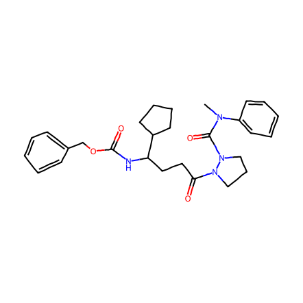 CN(C(=O)N1CCCN1C(=O)CCC(NC(=O)OCc1ccccc1)C1CCCC1)c1ccccc1